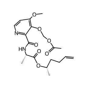 C=CCC[C@H](C)OC(=O)[C@H](C)NC(=O)c1nccc(OC)c1OCOC(C)=O